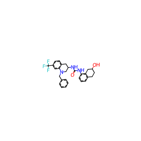 O=C(Nc1cccc2c1CC(O)CC2)NC1Cc2ccc(C(F)(F)F)cc2N(Cc2ccccc2)C1